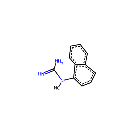 N#CN(C(=N)N)c1cccc2ccccc12